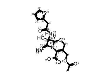 CC(=O)OCC1=C(C(=O)[O-])N2C(=O)[C@](O)(NC(=O)Cc3cccs3)[C@H]2SC1.[Na+]